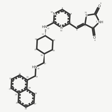 O=C1NC(=O)/C(=C/c2ccnc(N[C@H]3CC[C@H](CNCc4cccc5ccccc45)CC3)n2)S1